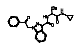 CC(C)(C)C(NC(=O)c1nn(CC(=O)c2ccccc2)c2ccccc12)C(=O)NC1CC1